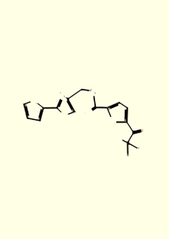 CN(Cc1csc(-c2cccs2)n1)C(=O)c1ccc(C(=O)C(F)(F)F)s1